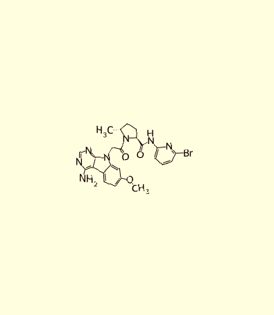 COc1ccc2c3c(N)ncnc3n(CC(=O)N3[C@H](C)CC[C@H]3C(=O)Nc3cccc(Br)n3)c2c1